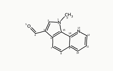 Cn1cc(C=O)c2ccc3cccnc3c21